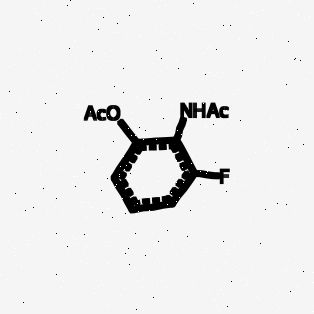 CC(=O)Nc1c(F)cccc1OC(C)=O